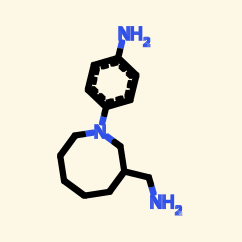 NCC1CCCCCN(c2ccc(N)cc2)C1